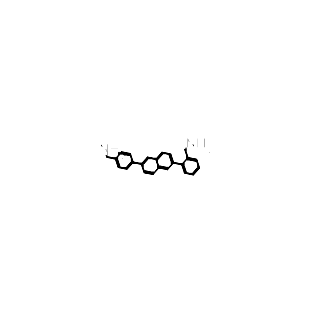 NCc1ccc(-c2ccc3cc(-c4ccccc4CN)ccc3c2)cc1